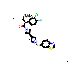 CNCC(C(=O)N1CC(=C2CN(Sc3ccc4ncsc4c3)C2)C1)c1ccc(F)c(Cl)c1